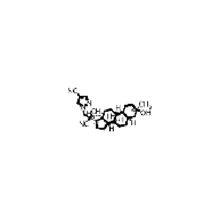 CC(C#N)(Cn1cc(C#N)cn1)[C@H]1CC[C@H]2[C@@H]3CC[C@@H]4C[C@](C)(O)CC[C@@H]4[C@H]3CC[C@]12C